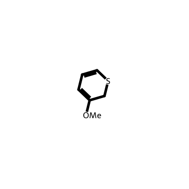 COC1=CC=CSC1